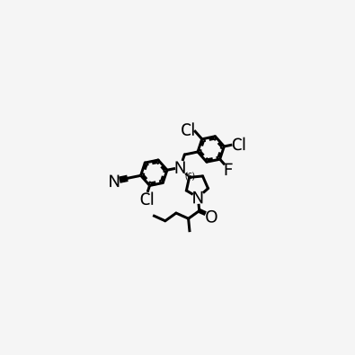 CCCC(C)C(=O)N1CC[C@H](N(Cc2cc(F)c(Cl)cc2Cl)c2ccc(C#N)c(Cl)c2)C1